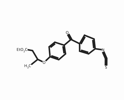 CCOC(=O)CC(C)Oc1ccc(C(=O)c2ccc(N=C=S)cc2)cc1